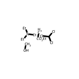 CCN(CC)CC.CCOC(C)=O.CO.ClC(Cl)Cl